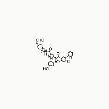 Cl.O=CCN1CCC(O)(CNC(=O)c2cc(NC(=O)c3cc(-c4ccccn4)c(Cl)cc3Cl)n(-c3ccccc3)n2)CC1